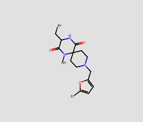 CCCN1C(=O)C(CC(C)C)NC(=O)C12CCN(Cc1ccc(CC)o1)CC2